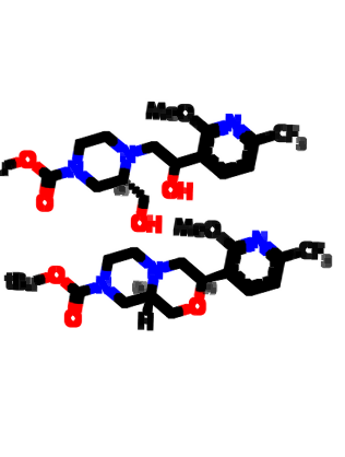 COc1nc(C(F)(F)F)ccc1C(O)CN1CCN(C(=O)OC(C)(C)C)C[C@H]1CO.COc1nc(C(F)(F)F)ccc1[C@@H]1CN2CCN(C(=O)OC(C)(C)C)C[C@H]2CO1